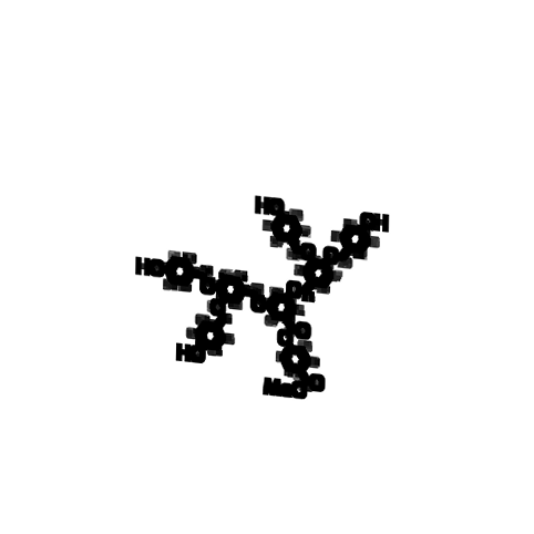 COC(=O)c1ccc(OC(=O)c2cc(OCc3ccc(OCc4ccc(O)cc4)c(OCc4ccc(O)cc4)c3)cc(OCc3ccc(OCc4ccc(O)cc4)c(OCc4ccc(O)cc4)c3)c2)cc1